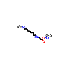 CCCNCCCCCCCCNCCC(=O)ONC=O